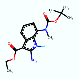 CCOC(=O)c1c(N)n(F)c2c(N(C)C(=O)OC(C)(C)C)cccc12